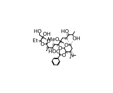 CC[C@@H](OC(=O)[C@H](C)[C@@H](O)[C@H](C)[C@@H](OC1O[C@H](C)C[C@H](N(C)C)[C@H]1OC(=O)c1ccccc1)[C@@](C)(C[C@@H](C)[C@H](O)C(C)O)OC)[C@@](C)(O)CO